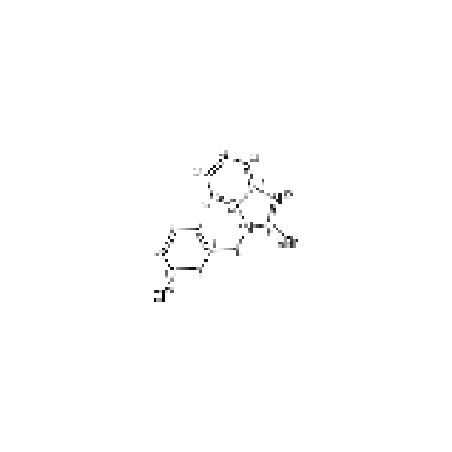 Clc1cccc(Cn2c(Br)nc3ccccc32)c1